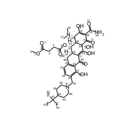 COC(=O)CCC(=O)O[C@H]1[C@H]2C(=C(O)[C@]3(O)C(=O)C(C(N)=O)=C(O)[C@@H](N(C)C)[C@H]13)C(=O)c1c(ccc(CN3CCC(C(F)(F)F)CC3)c1O)[C@@H]2C